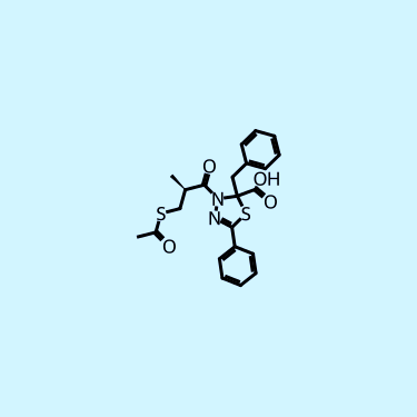 CC(=O)SC[C@@H](C)C(=O)N1N=C(c2ccccc2)SC1(Cc1ccccc1)C(=O)O